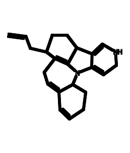 C=CCC1CCC2C3=CNCC=C3N3C2=C1CC=C1C=CCCC13